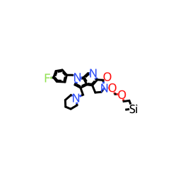 C[Si](C)(C)CCOCON1CCc2c(ncc3c2c(CN2CCCCC2)cn3Cc2ccc(F)cc2)C1=O